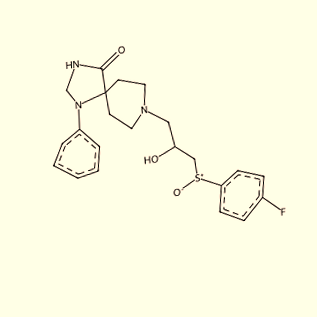 O=C1NCN(c2ccccc2)C12CCN(CC(O)C[S+]([O-])c1ccc(F)cc1)CC2